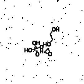 C1CO1.O=P(O)(O)O.OCCO